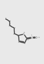 CCCCCC1C=CC(=C=O)S1